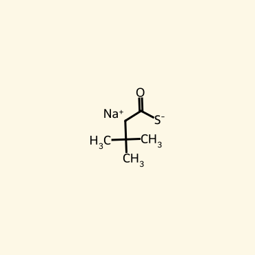 CC(C)(C)CC(=O)[S-].[Na+]